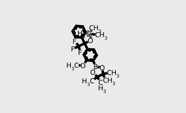 COc1cc(C(O[Si](C)(C)C)(c2ccccc2)C(F)(F)F)ccc1B1OC(C)(C)C(C)(C)O1